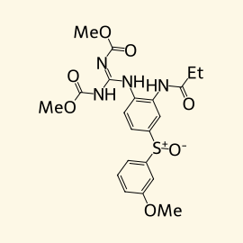 CCC(=O)Nc1cc([S+]([O-])c2cccc(OC)c2)ccc1NC(=NC(=O)OC)NC(=O)OC